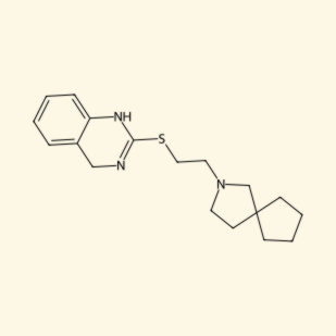 c1ccc2c(c1)CN=C(SCCN1CCC3(CCCC3)C1)N2